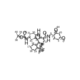 COc1ccc(CNC(=O)c2cc(F)c(-c3ccccc3C(F)(F)F)c3c4c([nH]c23)CCC(NC(=O)OC(C)(C)C)C4)c(OC)c1